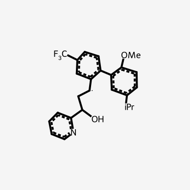 COc1ccc(C(C)C)cc1-c1ccc(C(F)(F)F)cc1[CH]CC(O)c1ccccn1